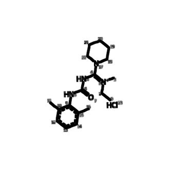 CC[N+](C)=C(NC(=O)Nc1c(C)cccc1C)N1CCCCC1.Cl